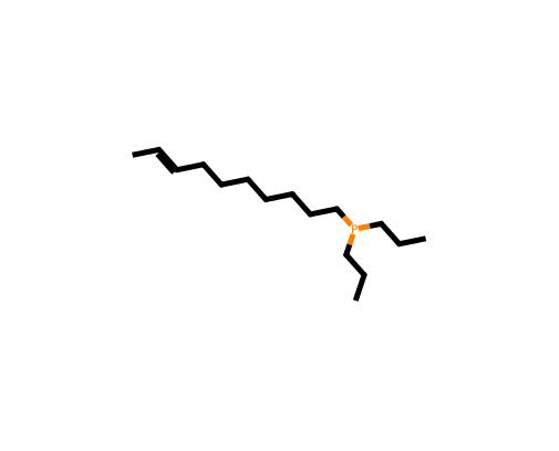 C/C=C/CCCCCCCP(CCC)CCC